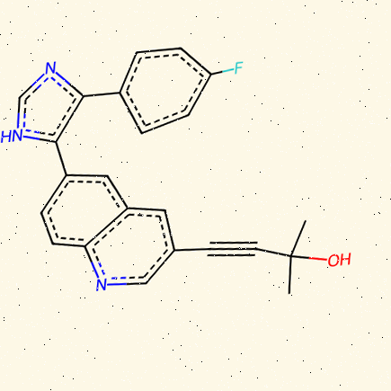 CC(C)(O)C#Cc1cnc2ccc(-c3[nH]cnc3-c3ccc(F)cc3)cc2c1